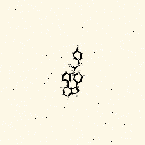 O=C(Nc1ccc(Cl)cc1)Nc1cccc(-c2ncnc3scc(-c4ccncc4)c23)c1